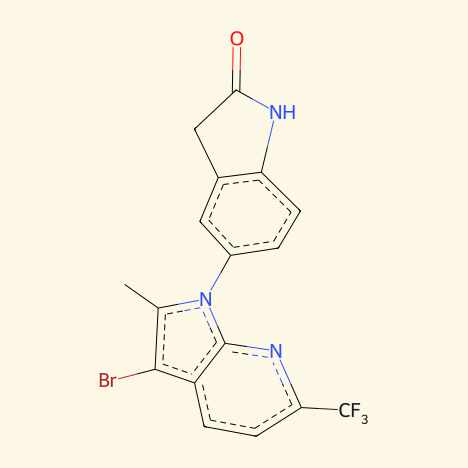 Cc1c(Br)c2ccc(C(F)(F)F)nc2n1-c1ccc2c(c1)CC(=O)N2